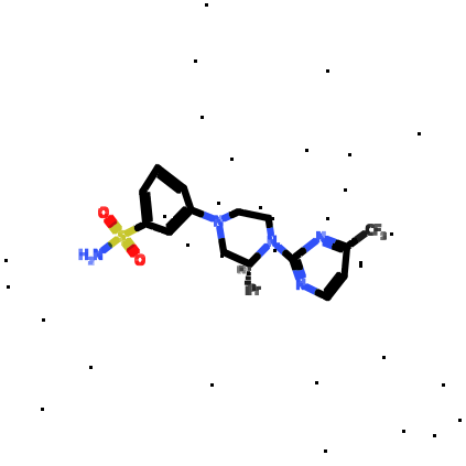 CC(C)[C@@H]1CN(c2cccc(S(N)(=O)=O)c2)CCN1c1nccc(C(F)(F)F)n1